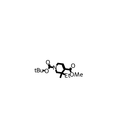 CCC1(C)CN(C(=O)OC(C)(C)C)CC=C1C(=O)OC